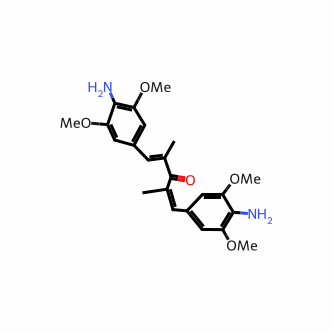 COc1cc(C=C(C)C(=O)C(C)=Cc2cc(OC)c(N)c(OC)c2)cc(OC)c1N